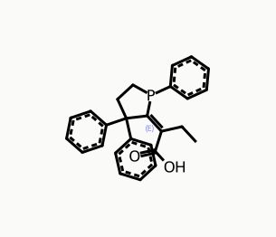 CC/C(C(=O)O)=C1\P(c2ccccc2)CCC1(c1ccccc1)c1ccccc1